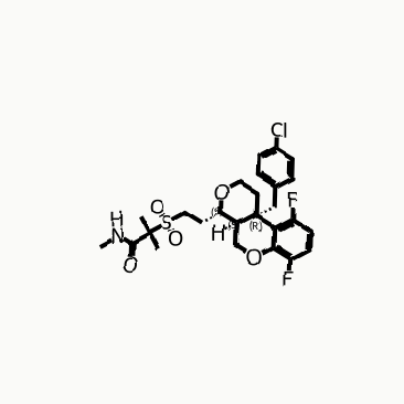 CNC(=O)C(C)(C)S(=O)(=O)CC[C@@H]1OCC[C@@]2(Cc3ccc(Cl)cc3)c3c(F)ccc(F)c3OC[C@@H]12